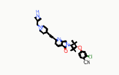 CC1(C)[C@H](Oc2ccc(C#N)c(Cl)c2)C(C)(C)[C@H]1N1Cc2nc(C#CC3CCN(CC4CNC4)CC3)ccc2C1=O